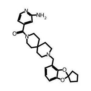 Nc1cc(C(=O)N2CCC3(CCN(Cc4cccc5c4OC4(CCCC4)O5)CC3)CC2)ccn1